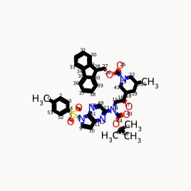 Cc1ccc(S(=O)(=O)n2ccc3nc(N(CC(=O)C4CC(C)CN(C(=O)OCC5c6ccccc6-c6ccccc65)C4)C(=O)OC(C)(C)C)cnc32)cc1